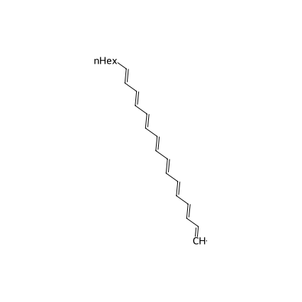 [CH]=C/C=C/C=C/C=C/C=C/C=C/C=C/C=C/CCCCCC